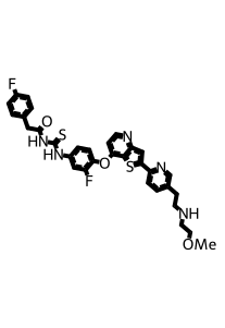 COCCNCCc1ccc(-c2cc3nccc(Oc4ccc(NC(=S)NC(=O)Cc5ccc(F)cc5)cc4F)c3s2)nc1